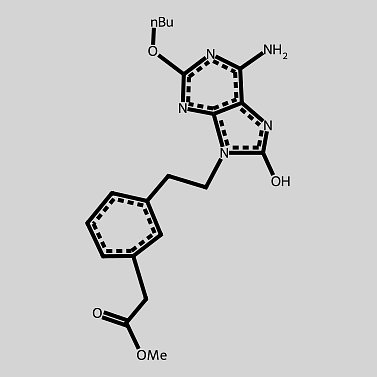 CCCCOc1nc(N)c2nc(O)n(CCc3cccc(CC(=O)OC)c3)c2n1